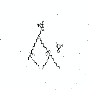 CCCCCCCCC(CC)OC(=O)CCCCCCCN(CCCCCCCC(=O)OC(CCCCCCCC)CCCCCCCC)CCCNC1=NC(=O)CN1.CSC1=NC(=O)CN1